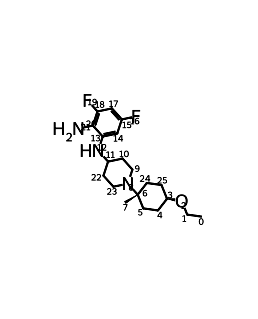 CCO[C@H]1CC[C@](C)(N2CCC(Nc3cc(F)cc(F)c3N)CC2)CC1